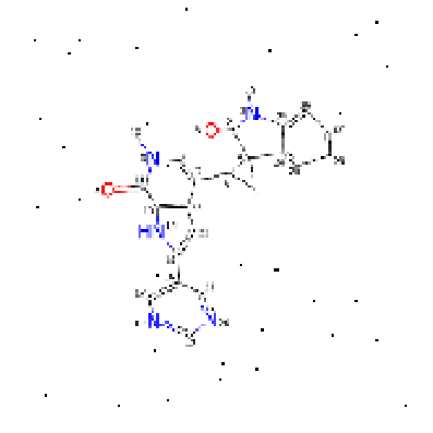 CN1C(=O)C2(CC2c2cn(C)c(=O)c3[nH]c(-c4cncnc4)cc23)c2ccccc21